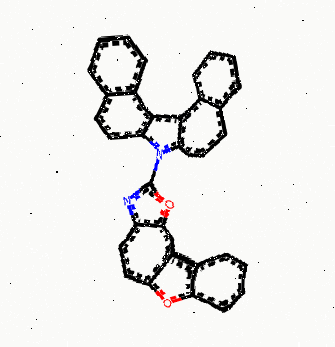 c1ccc2c(c1)ccc1c2c2c3ccccc3ccc2n1-c1nc2ccc3oc4ccccc4c3c2o1